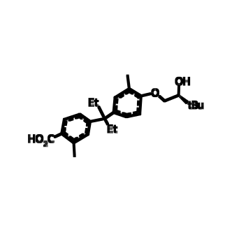 CCC(CC)(c1ccc(OC[C@@H](O)C(C)(C)C)c(C)c1)c1ccc(C(=O)O)c(C)c1